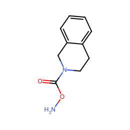 NOC(=O)N1CCc2ccccc2C1